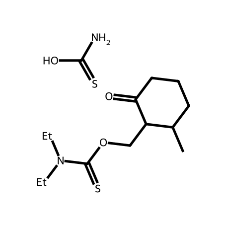 CCN(CC)C(=S)OCC1C(=O)CCCC1C.NC(O)=S